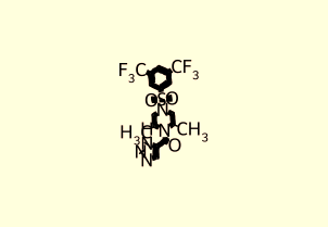 C[C@@H]1CN(S(=O)(=O)c2cc(C(F)(F)F)cc(C(F)(F)F)c2)C[C@H](C)N1C(=O)c1cnn[nH]1